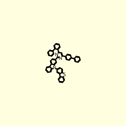 c1ccc(-c2ccc(-c3cc(-c4ccccc4-c4ccccc4)nc(-c4ccc5c6ccccc6n(-c6ccc7sc8ccccc8c7c6)c5c4)n3)cc2)cc1